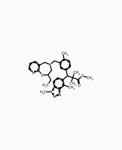 CCC1CN(Cc2cc(C(c3ccc4c(nnn4C)c3C)C(C)(C)C(=O)OC)ccc2C)Cc2cccnc2O1